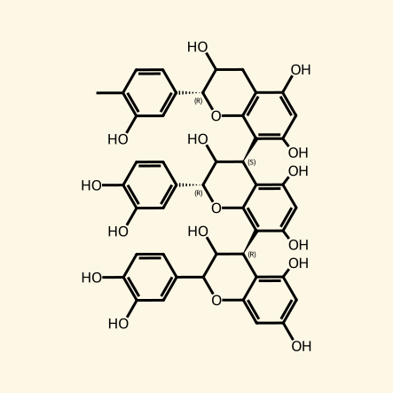 Cc1ccc([C@H]2Oc3c(c(O)cc(O)c3[C@H]3c4c(O)cc(O)c([C@H]5c6c(O)cc(O)cc6OC(c6ccc(O)c(O)c6)C5O)c4O[C@H](c4ccc(O)c(O)c4)C3O)CC2O)cc1O